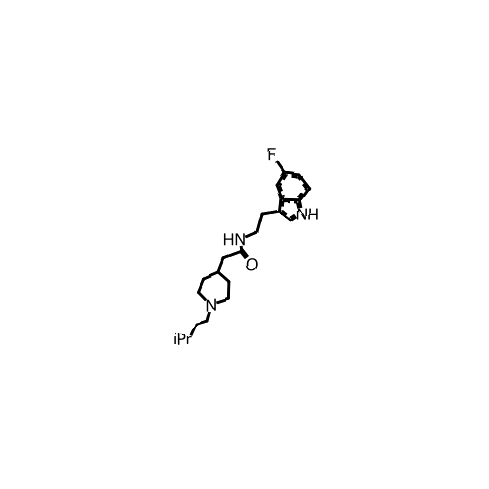 CC(C)CCN1CCC(CC(=O)NCCc2c[nH]c3ccc(F)cc23)CC1